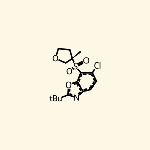 CC(C)(C)c1nc2ccc(Cl)c(S(=O)(=O)[C@@]3(C)CCOC3)c2o1